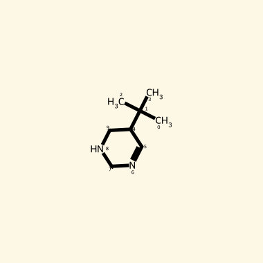 CC(C)(C)C1C=N[C]NC1